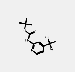 [2H]C([2H])(C)c1ccnc(NC(=O)OC(C)(C)C)c1